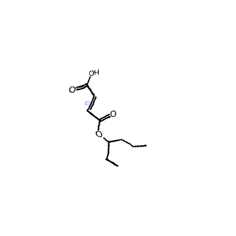 CCCC(CC)OC(=O)/C=C/C(=O)O